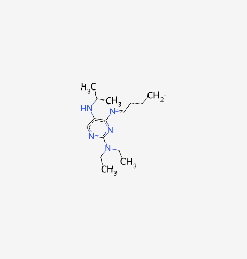 [CH2]CCC=Nc1nc(N(CC)CC)ncc1NC(C)C